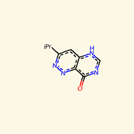 CC(C)c1cc2[nH]cnc(=O)c2nn1